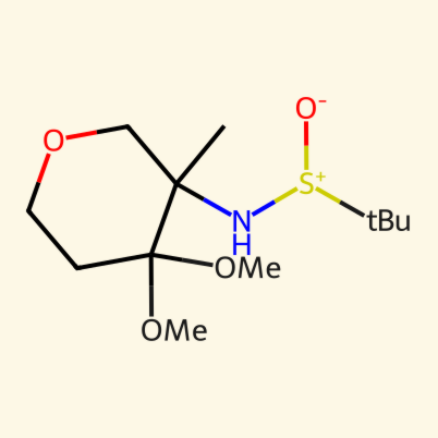 COC1(OC)CCOCC1(C)N[S+]([O-])C(C)(C)C